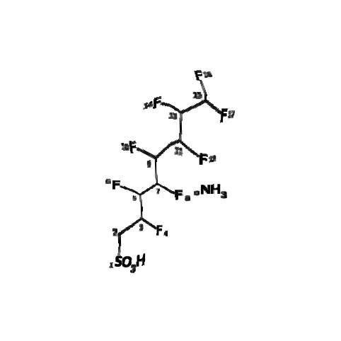 N.O=S(=O)(O)CC(F)C(F)C(F)C(F)C(F)C(F)C(F)F